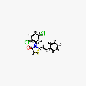 O=C1CSC(C=Cc2ccccc2)N1c1cc(Cl)ccc1Cl